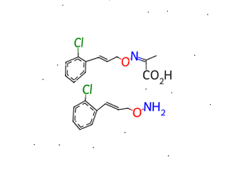 C/C(=N/OC/C=C/c1ccccc1Cl)C(=O)O.NOC/C=C/c1ccccc1Cl